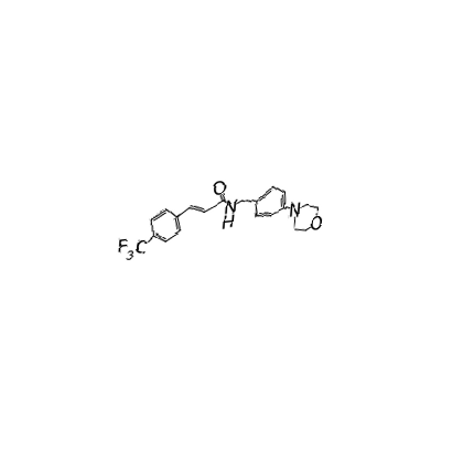 O=C(C=Cc1ccc(C(F)(F)F)cc1)NCc1ccc(N2CCOCC2)cc1